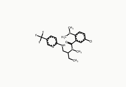 CCC(CNc1ccc(C(F)(F)F)cn1)N(C)C(=O)c1cc(Cl)ccc1N(C)C